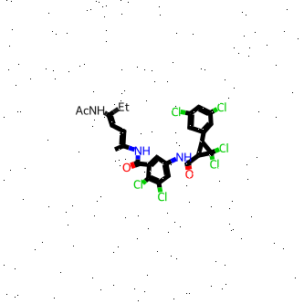 CC/C(=C\C=C(/C)NC(=O)c1cc(NC(=O)C2C(c3cc(Cl)cc(Cl)c3)C2(Cl)Cl)cc(Cl)c1Cl)NC(C)=O